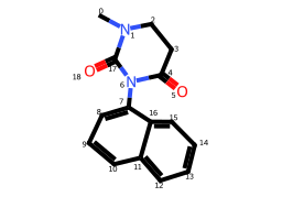 CN1CCC(=O)N(c2cccc3ccccc23)C1=O